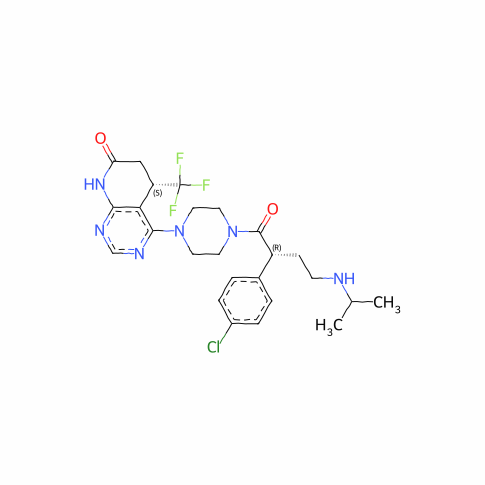 CC(C)NCC[C@@H](C(=O)N1CCN(c2ncnc3c2[C@@H](C(F)(F)F)CC(=O)N3)CC1)c1ccc(Cl)cc1